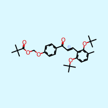 Cc1ccc(OC(C)(C)C)c(/C=C/C(=O)c2ccc(OCOC(=O)C(C)(C)C)cc2)c1OC(C)(C)C